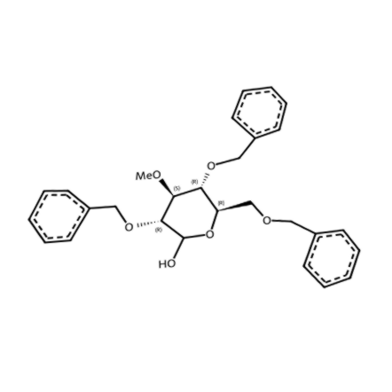 CO[C@H]1[C@H](OCc2ccccc2)[C@@H](COCc2ccccc2)OC(O)[C@@H]1OCc1ccccc1